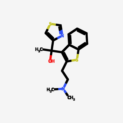 CN(C)CCc1sc2ccccc2c1C(C)(O)c1cscn1